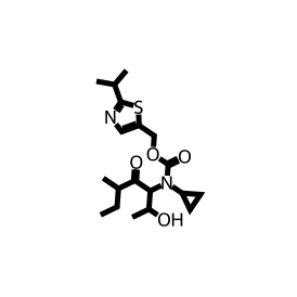 CCC(C)C(=O)C(C(C)O)N(C(=O)OCc1cnc(C(C)C)s1)C1CC1